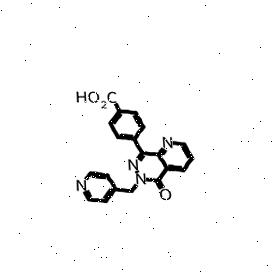 O=C(O)c1ccc(-c2nn(Cc3ccncc3)c(=O)c3cccnc23)cc1